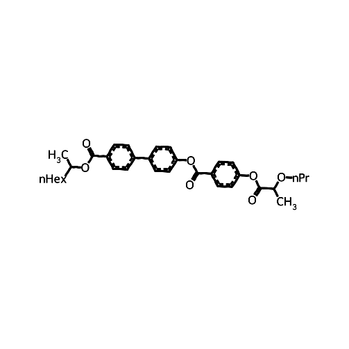 CCCCCCC(C)OC(=O)c1ccc(-c2ccc(OC(=O)c3ccc(OC(=O)C(C)OCCC)cc3)cc2)cc1